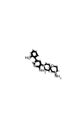 Nc1nnc(-c2ccccc2O)cc1N1CCC2(CC1)CN(N)CCO2